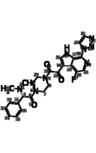 CN(C)[C@H](C(=O)N1CCN(C(=O)C(=O)c2c[nH]c3c(-n4ccnn4)ncc(F)c23)CC1)c1ccccc1